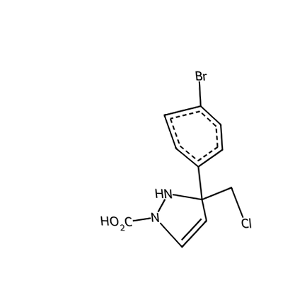 O=C(O)N1C=CC(CCl)(c2ccc(Br)cc2)N1